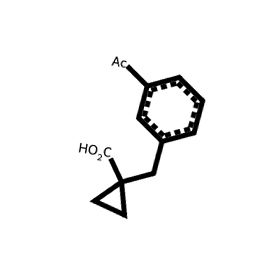 CC(=O)c1cccc(CC2(C(=O)O)CC2)c1